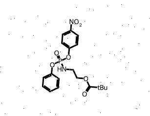 CC(C)(C)C(=O)OCCNP(=O)(Oc1ccccc1)Oc1ccc([N+](=O)[O-])cc1